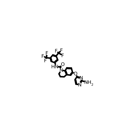 Nc1nccc(Oc2ccc3c(c2)CCCN3C(=O)Nc2cc(C(F)(F)F)cc(C(F)(F)F)c2)n1